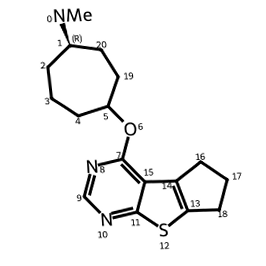 CN[C@@H]1CCCC(Oc2ncnc3sc4c(c23)CCC4)CC1